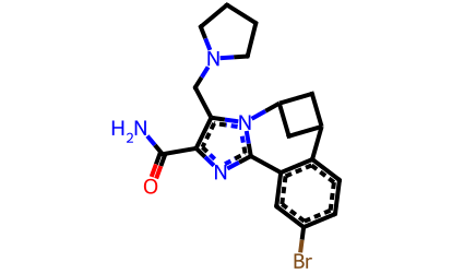 NC(=O)c1nc2n(c1CN1CCCC1)C1CC(C1)c1ccc(Br)cc1-2